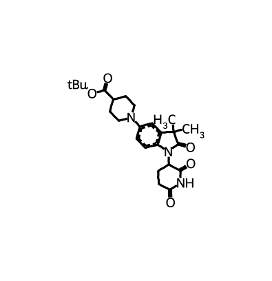 CC(C)(C)OC(=O)C1CCN(c2ccc3c(c2)C(C)(C)C(=O)N3C2CCC(=O)NC2=O)CC1